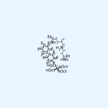 CCCCC(CC)CC[NH2+]CC(C)CCC(CC)CCC.CCCCCCC[CH2][Al-]([CH2]CCCCCCC)([CH2]CCCCCCC)[CH2]CCCCCCC.Fc1c(F)c(F)c(-c2c(F)c(F)c(F)c(F)c2F)c(F)c1F